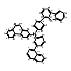 c1cc(-c2cccc3ccccc23)cc(N(c2ccc(-c3cccc4c3sc3ccccc34)cc2)c2ccc3c(ccc4ccccc43)c2)c1